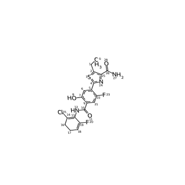 CCc1sc(-c2cc(O)c(C(=O)NC3=C(Cl)CCC=C3F)cc2F)nc1C(N)=O